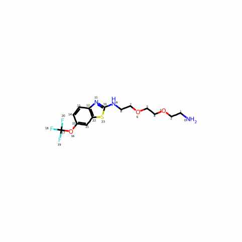 NCCOCCOCCNc1nc2ccc(OC(F)(F)F)cc2s1